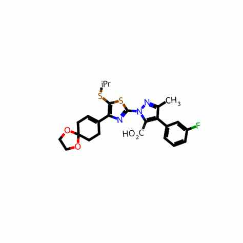 Cc1nn(-c2nc(C3=CCC4(CC3)OCCO4)c(SC(C)C)s2)c(C(=O)O)c1-c1cccc(F)c1